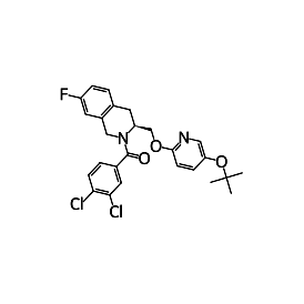 CC(C)(C)Oc1ccc(OC[C@@H]2Cc3ccc(F)cc3CN2C(=O)c2ccc(Cl)c(Cl)c2)nc1